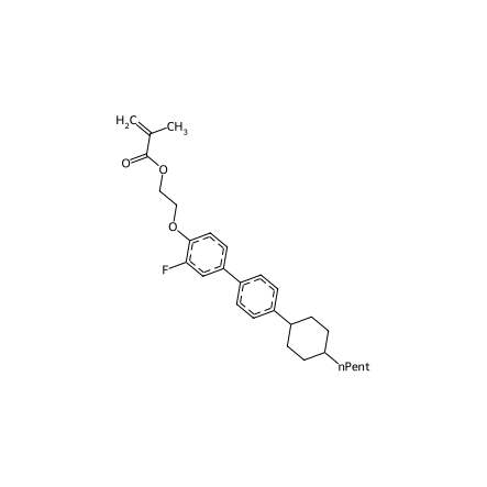 C=C(C)C(=O)OCCOc1ccc(-c2ccc(C3CCC(CCCCC)CC3)cc2)cc1F